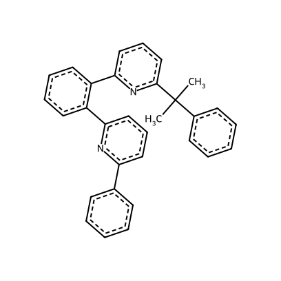 CC(C)(c1ccccc1)c1cccc(-c2ccccc2-c2cccc(-c3ccccc3)n2)n1